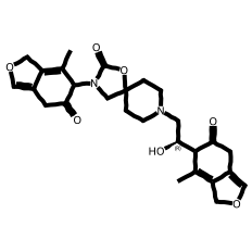 CC1=C2COC=C2CC(=O)C1[C@@H](O)CN1CCC2(CC1)CN(C1C(=O)CC3=COCC3=C1C)C(=O)O2